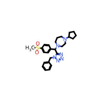 CS(=O)(=O)c1ccc(C(c2nnnn2Cc2ccccc2)N2CCCN(C3CCCC3)CC2)cc1